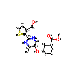 COC(=O)[C@H]1CCC[C@H](Oc2cnc(-c3sccc3C=O)nc2C)C1